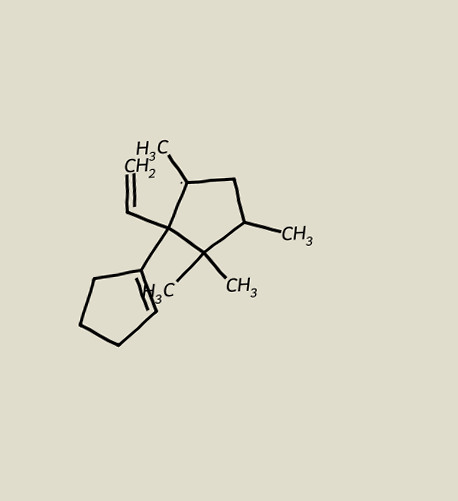 C=CC1(C2=CCCC2)[C](C)CC(C)C1(C)C